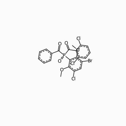 COc1c(Cl)cc(Br)c(OC)c1P(=O)(C(=O)c1ccccc1)C(=O)c1c(Cl)cccc1Cl